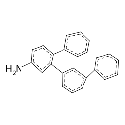 Nc1ccc(-c2ccccc2)c(-c2cccc(-c3ccccc3)c2)c1